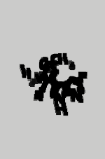 Cn1cc(-c2c[nH]c3ncc(F)cc23)c(C#N)c(N)c1=O